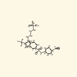 CC(C)(C)c1nc2cc(S(=O)(=O)Cc3ccc(C#N)cc3)ccc2n1CCCCC(F)(F)F